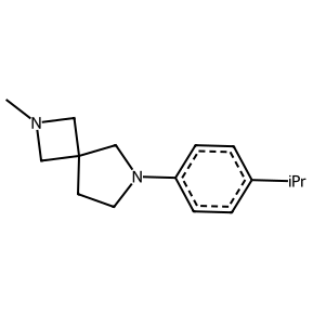 CC(C)c1ccc(N2CCC3(CN(C)C3)C2)cc1